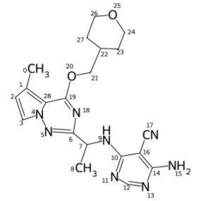 Cc1ccn2nc(C(C)Nc3ncnc(N)c3C#N)nc(OCC3CCOCC3)c12